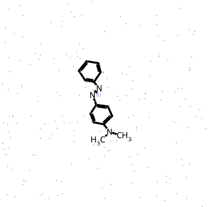 CN(C)c1ccc(/N=N/c2[c]cccc2)cc1